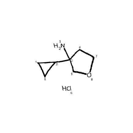 Cl.NC1(C2CC2)CCOC1